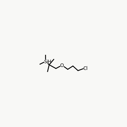 C[SiH](C)C(C)(C)COCCCCl